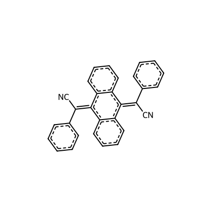 N#CC(c1ccccc1)=c1c2ccccc2c(=C(C#N)c2ccccc2)c2ccccc12